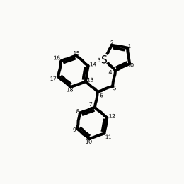 [c]1ccsc1CC(c1ccccc1)c1ccccc1